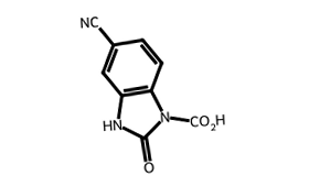 N#Cc1ccc2c(c1)[nH]c(=O)n2C(=O)O